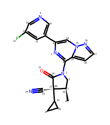 C[C@@H]1CN(c2nc(-c3cncc(F)c3)cn3nccc23)C(=O)[C@]1(C#N)C1CC1